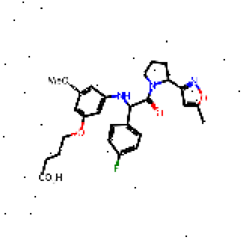 COc1cc(NC(C(=O)N2CCCC2c2cc(C)on2)c2ccc(F)cc2)cc(OCCCC(=O)O)c1